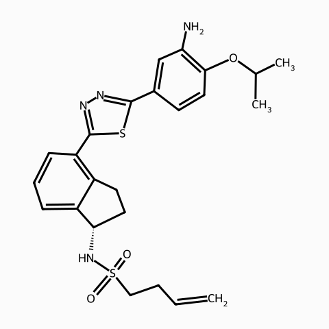 C=CCCS(=O)(=O)N[C@H]1CCc2c(-c3nnc(-c4ccc(OC(C)C)c(N)c4)s3)cccc21